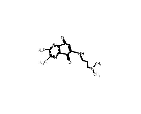 Cc1nc2c(nc1C)C(=O)C(NCCCN(C)C)=CC2=O